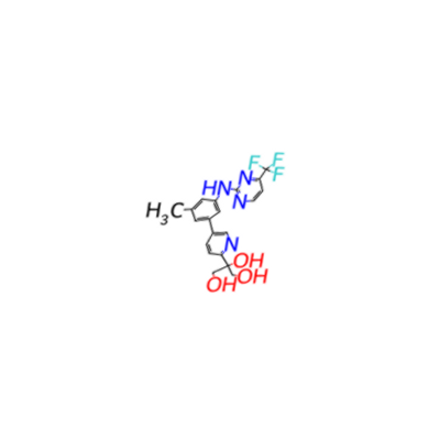 Cc1cc(Nc2nccc(C(F)(F)F)n2)cc(-c2ccc(C(O)(CO)CO)nc2)c1